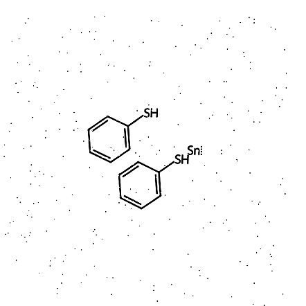 Sc1ccccc1.Sc1ccccc1.[Sn]